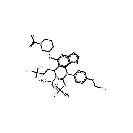 CCOc1ccc(N(C(=O)OC(C)(C)C)c2c(C(CCC(C)(C)C)O[SiH](C)C)c(N[C@H]3CCCN(C(=O)O)C3)nc3ccnn23)cc1